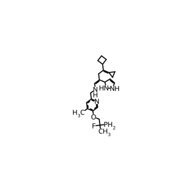 Cc1cc(CN/C=C(/CC(=C2CC2)C2CCC2)C2C=CNN2)ncc1OCC(C)(F)P